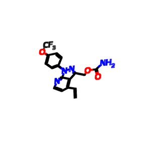 C=Cc1ccnc2c1c(COC(N)=O)nn2-c1ccc(OC(F)(F)F)cc1